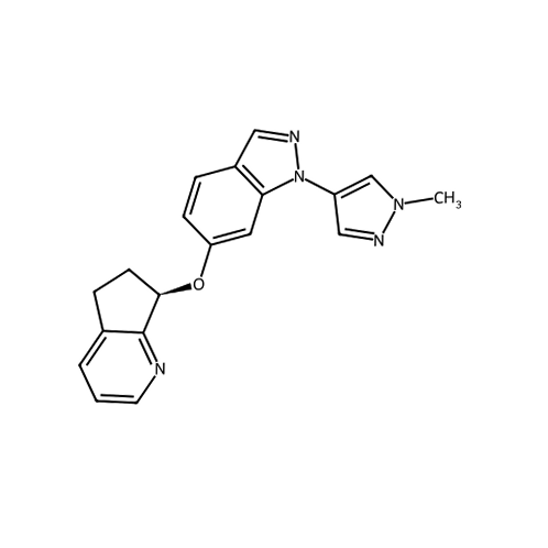 Cn1cc(-n2ncc3ccc(O[C@@H]4CCc5cccnc54)cc32)cn1